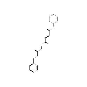 O=C(CCc1ccccc1)COC(=O)/C=C/C(=O)OC1CCCCC1